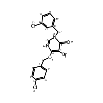 O=c1c(Br)c(OCc2ccc(Cl)cc2)ncn1Cc1cccc(Cl)c1